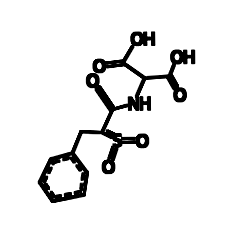 O=C(NC(C(=O)O)C(=O)O)C(Cc1ccccc1)=S(=O)=O